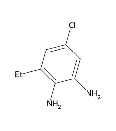 CCc1cc(Cl)cc(N)c1N